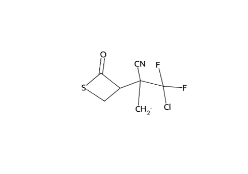 [CH2]C(C#N)(C1CSC1=O)C(F)(F)Cl